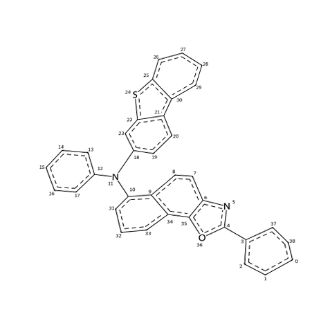 c1ccc(-c2nc3ccc4c(N(c5ccccc5)c5ccc6c(c5)sc5ccccc56)cccc4c3o2)cc1